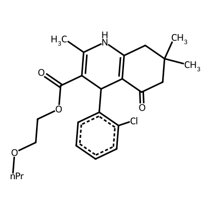 CCCOCCOC(=O)C1=C(C)NC2=C(C(=O)CC(C)(C)C2)C1c1ccccc1Cl